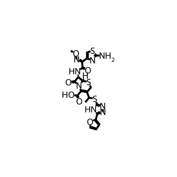 CON=C(C(=O)N[C@@H]1C(=O)N2C(C(=O)O)=C(C(C)Sc3nnc(-c4ccco4)[nH]3)CS[C@@H]12)c1csc(N)n1